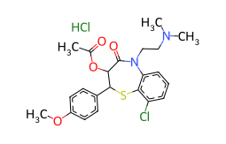 COc1ccc(C2Sc3c(Cl)cccc3N(CCN(C)C)C(=O)C2OC(C)=O)cc1.Cl